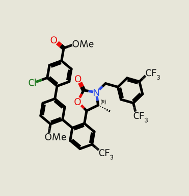 COC(=O)c1ccc(-c2ccc(OC)c(-c3ccc(C(F)(F)F)cc3C3OC(=O)N(Cc4cc(C(F)(F)F)cc(C(F)(F)F)c4)[C@@H]3C)c2)c(Cl)c1